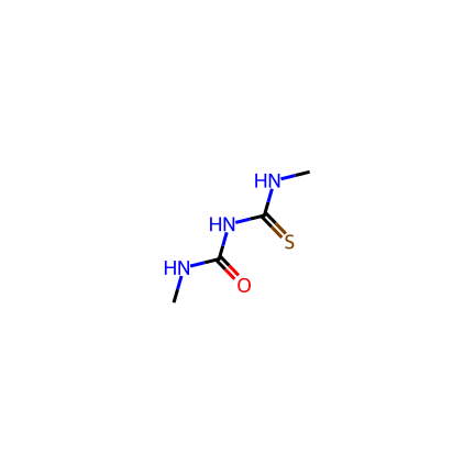 CNC(=O)NC(=S)NC